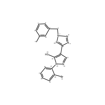 Cc1cccc(Cn2nnc(-c3cnn(-c4ccccc4Br)c3S)n2)c1